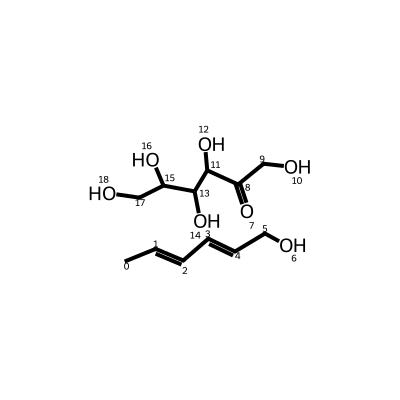 C/C=C/C=C/CO.O=C(CO)C(O)C(O)C(O)CO